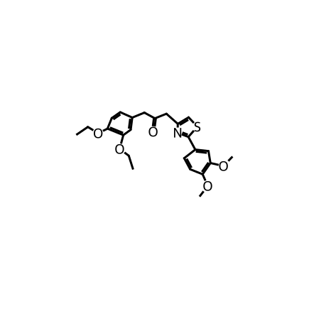 CCOc1ccc(CC(=O)Cc2csc(-c3ccc(OC)c(OC)c3)n2)cc1OCC